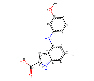 COc1cccc(Nc2cc(C)cc3[nH]c(C(=O)O)cc23)c1